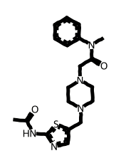 CC(=O)Nc1ncc(CN2CCN(CC(=O)N(C)c3ccccc3)CC2)s1